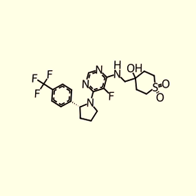 O=S1(=O)CCC(O)(CNc2ncnc(N3CCC[C@@H]3c3ccc(C(F)(F)F)cc3)c2F)CC1